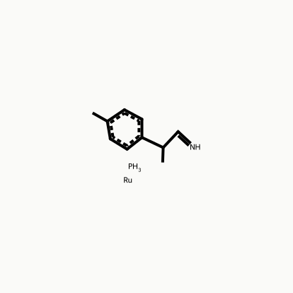 Cc1ccc(C(C)C=N)cc1.P.[Ru]